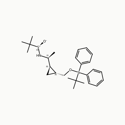 C[C@H](N[S@+]([O-])C(C)(C)C)[C@@H]1C[C@H]1CO[Si](c1ccccc1)(c1ccccc1)C(C)(C)C